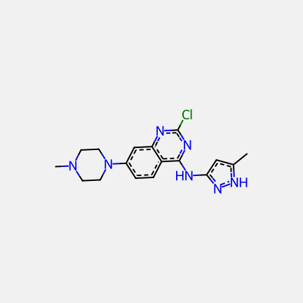 Cc1cc(Nc2nc(Cl)nc3cc(N4CCN(C)CC4)ccc23)n[nH]1